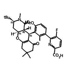 COc1ccc(-c2nc(C(=O)O)ccc2F)c(C)c1[C@H]1C2=C(CC(C)(C)CC2=O)O[C@H]2C[C@@H](C(C)(C)C)N(C)C(=O)[C@@H]21